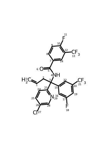 C=CCC(NC(=O)c1ccc(F)c(C(F)(F)F)c1)(c1cc(F)cc(C(F)(F)F)c1)c1ccc(Cl)cn1